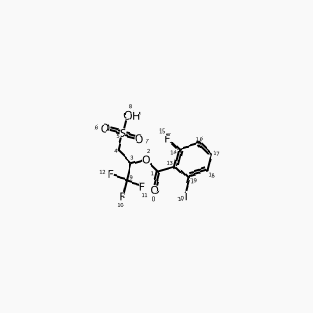 O=C(OC(CS(=O)(=O)O)C(F)(F)F)c1c(F)cccc1I